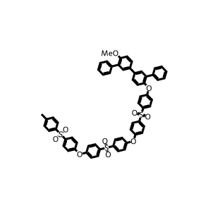 COc1ccc(-c2ccc(Oc3ccc(S(=O)(=O)c4ccc(Oc5ccc(S(=O)(=O)c6ccc(Oc7ccc(S(=O)(=O)c8ccc(C)cc8)cc7)cc6)cc5)cc4)cc3)c(-c3ccccc3)c2)cc1-c1ccccc1